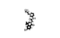 COCCN1CCC[C@H](NC(=O)CN2CC3(CC3)c3cc(Br)ccc3C2=O)C1